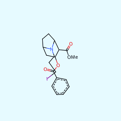 COC(=O)C1C(OC(=O)c2ccccc2)CC2CCC1N2CCCI